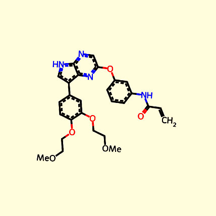 C=CC(=O)Nc1cccc(Oc2cnc3[nH]cc(-c4ccc(OCCOC)c(OCCOC)c4)c3n2)c1